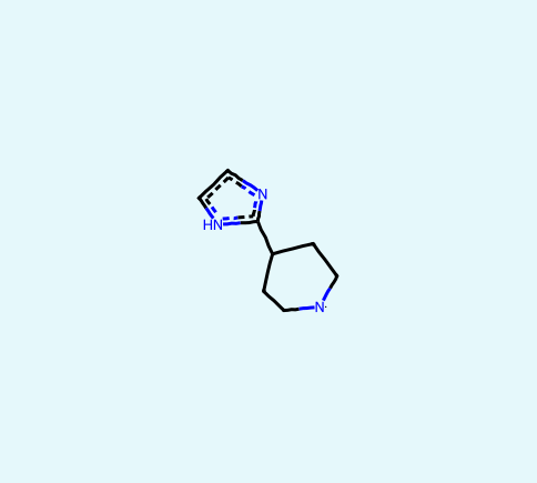 c1c[nH]c(C2CC[N]CC2)n1